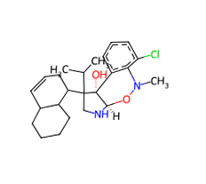 CC(C)C1(C2CC=CC3CCCCC32)CN[C@@H]2ON(C)c3c(Cl)cccc3[C@@]21O